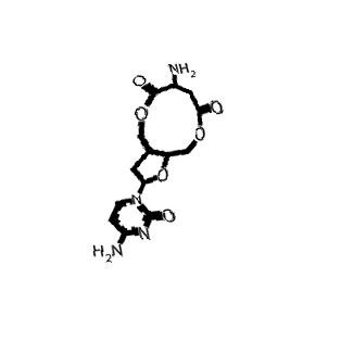 Nc1ccn(C2CC3COC(=O)C(N)CC(=O)OCC3O2)c(=O)n1